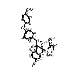 CC(=O)c1nnnn1C(F)(F)C(O)(Cc1ccc(Oc2ccc(C#N)cc2)cn1)c1ccc(F)cc1F